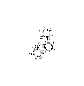 c1ccc(-c2cccc3c2Cc2ccccc2-3)cc1